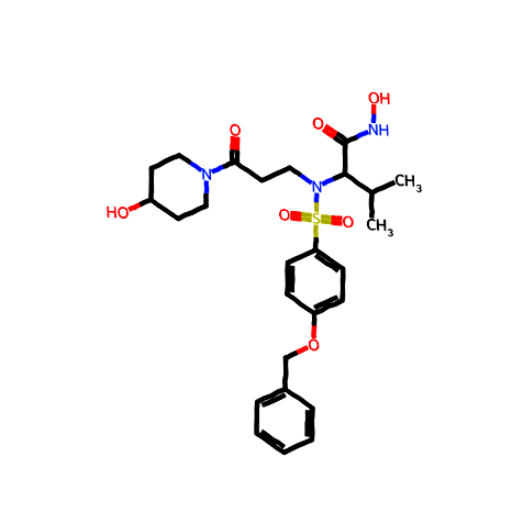 CC(C)C(C(=O)NO)N(CCC(=O)N1CCC(O)CC1)S(=O)(=O)c1ccc(OCc2ccccc2)cc1